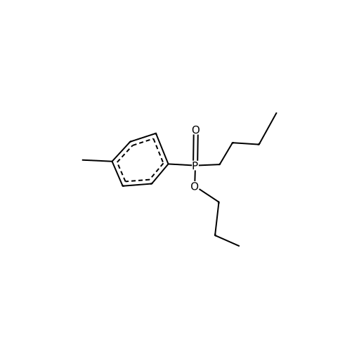 CCCCP(=O)(OCCC)c1ccc(C)cc1